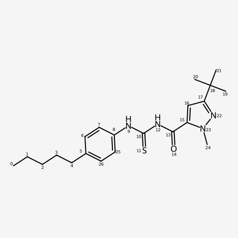 CCCCCc1ccc(NC(=S)NC(=O)c2cc(C(C)(C)C)nn2C)cc1